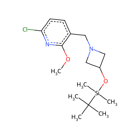 COc1nc(Cl)ccc1CN1CC(O[Si](C)(C)C(C)(C)C)C1